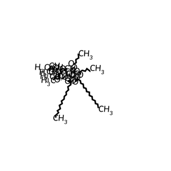 CCCCCCCCCCCCCCCC(=O)O[C@@H]1[C@H](OC(=O)CCCCCCCCCCCCCCC)[C@H](OOC[C@H]2OC(C)(C)O[C@H]2[C@@H]2OC(C)(C)O[C@@H]2CO[Si](C)(C)C(C)(C)C)O[C@H](COC(=O)CCCCC)[C@H]1OC(=O)CCCCC